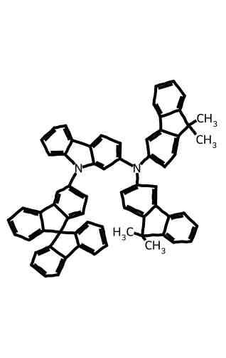 CC1(C)c2ccccc2-c2cc(N(c3ccc4c(c3)-c3ccccc3C4(C)C)c3ccc4c5ccccc5n(-c5ccc6c(c5)-c5ccccc5C65c6ccccc6-c6ccccc65)c4c3)ccc21